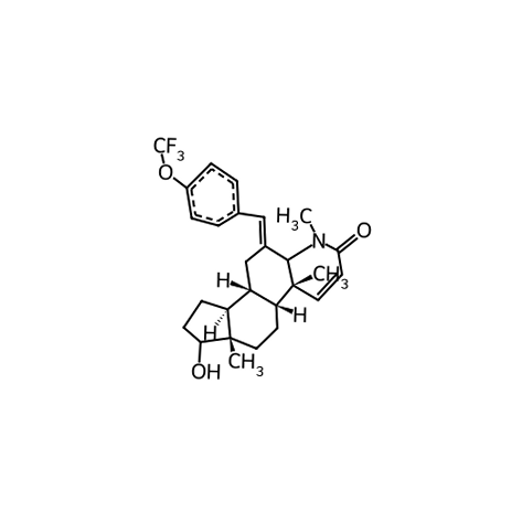 CN1C(=O)C=C[C@@]2(C)C1C(=Cc1ccc(OC(F)(F)F)cc1)C[C@@H]1[C@H]2CC[C@]2(C)C(O)CC[C@@H]12